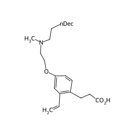 C=Cc1cc(OCCN(C)CCCCCCCCCCCC)ccc1CCC(=O)O